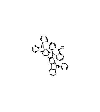 O=C1c2ccccc2C2(c3ccccc31)c1cc3c(cc1-c1cc4c5ccccc5n(-c5ccccc5)c4cc12)c1ccccc1n3-c1ccccc1